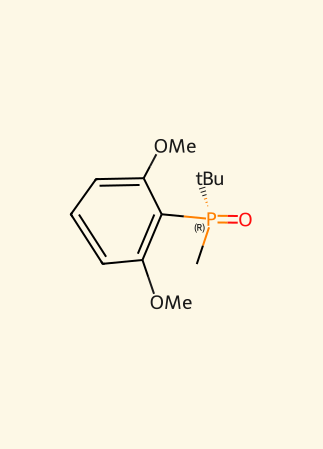 COc1cccc(OC)c1[P@](C)(=O)C(C)(C)C